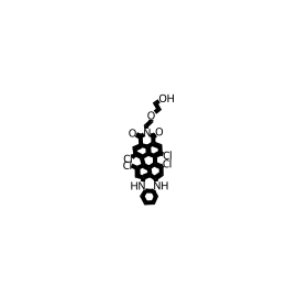 O=C1c2cc(Cl)c3c4c(Cl)cc5c6c(cc(Cl)c(c7c(Cl)cc(c2c37)C(=O)N1CCOCCO)c64)NC1CCCCC1N5